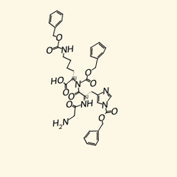 NCC(=O)N[C@@H](Cc1cn(C(=O)OCc2ccccc2)cn1)C(=O)N(C(=O)OCc1ccccc1)[C@@H](CCCCNC(=O)OCc1ccccc1)C(=O)O